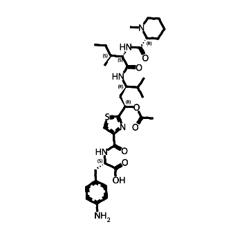 CC[C@H](C)[C@H](NC(=O)[C@H]1CCCCN1C)C(=O)N[C@H](C[C@@H](OC(C)=O)c1nc(C(=O)N[C@@H](Cc2ccc(N)cc2)C(=O)O)cs1)C(C)C